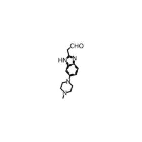 CN1CCN(c2ccc3nc(CC=O)[nH]c3c2)CC1